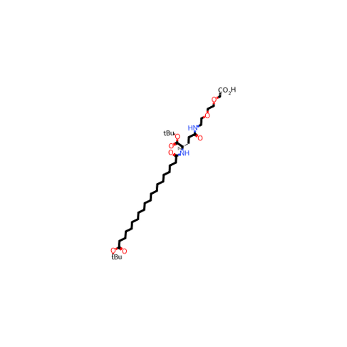 CC(C)(C)OC(=O)CCCCCCCCCCCCCCCCCCC(=O)N[C@@H](CCC(=O)NCCOCCOCC(=O)O)C(=O)OC(C)(C)C